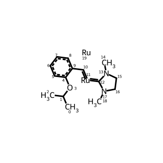 CC(C)Oc1ccccc1[CH]=[Ru]=[C]1N(C)CCN1C.[Ru]